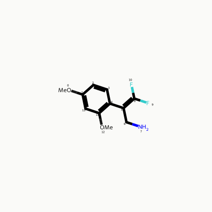 COc1ccc(C(CN)=C(F)F)c(OC)c1